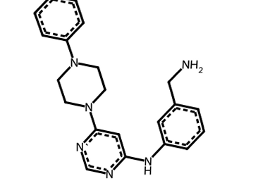 NCc1cccc(Nc2cc(N3CCN(c4ccccc4)CC3)ncn2)c1